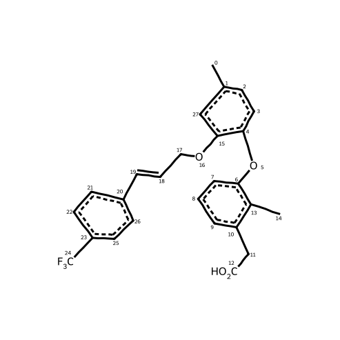 Cc1ccc(Oc2cccc(CC(=O)O)c2C)c(OCC=Cc2ccc(C(F)(F)F)cc2)c1